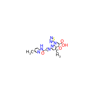 Cc1ccc(NC(=O)C2CN(c3cc(C)c4c(=O)c(C(=O)O)cn(-c5ncns5)c4n3)C2)nc1